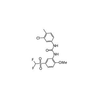 COc1ccc(S(=O)(=O)C(F)F)cc1NC(=O)Nc1ccc(C)c(Cl)c1